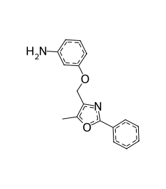 Cc1oc(-c2ccccc2)nc1COc1cccc(N)c1